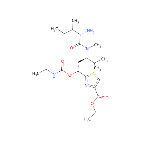 CCNC(=O)O[C@H](C[C@H](C(C)C)N(C)C(=O)[C@@H](N)C(C)CC)c1nc(C(=O)OCC)cs1